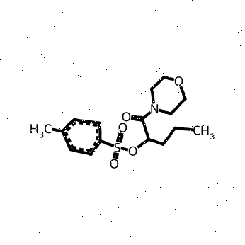 CCCC(OS(=O)(=O)c1ccc(C)cc1)C(=O)N1CCOCC1